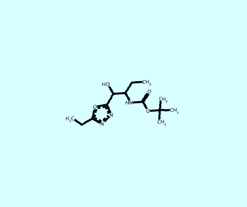 CCc1nnc(C(O)C(CC)NC(=O)OC(C)(C)C)o1